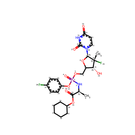 C[C@H](NP(=O)(OCC1O[C@@H](n2ccc(=O)[nH]c2=O)[C@](C)(F)[C@@H]1O)Oc1ccc(F)cc1)C(=O)OC1CCCCC1